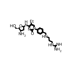 CCc1cn(-c2ccc(CNCCCNC(=N)N)cc2)c(=O)nc1NC1C[C@@H](N)[C@@H](CO)O1